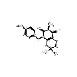 COc1ccc(CN2C(=O)C(C)C(=O)C3=C2CC(C)(C)CC3)cc1